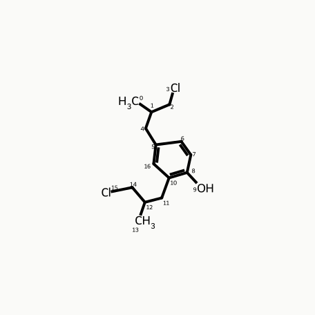 CC(CCl)Cc1ccc(O)c(CC(C)CCl)c1